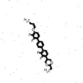 C=CC1OCC(c2ccc(-c3ccc(-c4ccc(O/C=C\CC)c(F)c4F)cc3)c(F)c2F)CO1